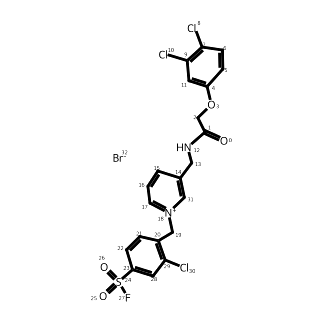 O=C(COc1ccc(Cl)c(Cl)c1)NCc1ccc[n+](Cc2ccc(S(=O)(=O)F)cc2Cl)c1.[Br-]